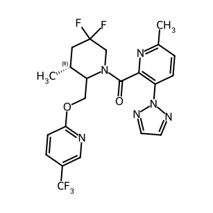 Cc1ccc(-n2nccn2)c(C(=O)N2CC(F)(F)C[C@@H](C)C2COc2ccc(C(F)(F)F)cn2)n1